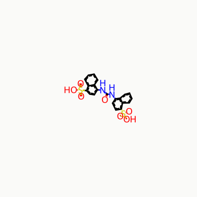 O=C(Nc1ccc(S(=O)(=O)O)c2ccccc12)Nc1ccc(S(=O)(=O)O)c2ccccc12